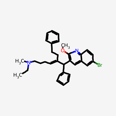 CCN(C)CCC/C=C(\CCc1ccccc1)C(c1ccccc1)c1cc2cc(Br)ccc2nc1OC